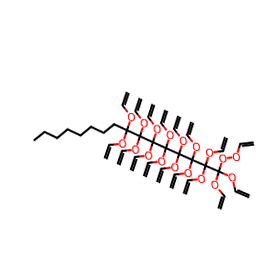 C=COOC(OC=C)(OC=C)C(OC=C)(OC=C)C(OC=C)(OC=C)C(OC=C)(OC=C)C(OC=C)(OC=C)C(OC=C)(OC=C)C(OC=C)(OC=C)C(CCCCCCCC)(OC=C)OC=C